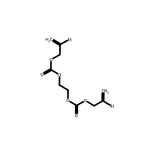 C=C(CC)COC(=O)OCCOC(=O)OCC(=C)CC